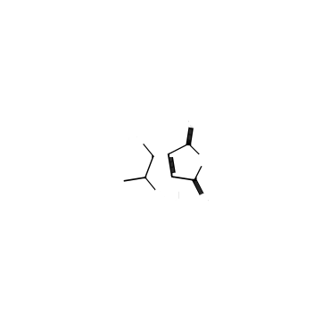 CC(CS(=O)(=O)O)S(=O)(=O)O.O=C1C=CC(=O)O1